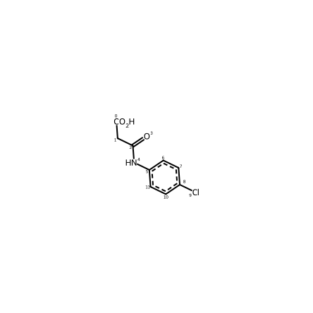 O=C(O)CC(=O)Nc1ccc(Cl)cc1